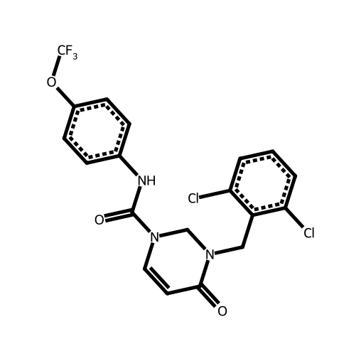 O=C(Nc1ccc(OC(F)(F)F)cc1)N1C=CC(=O)N(Cc2c(Cl)cccc2Cl)C1